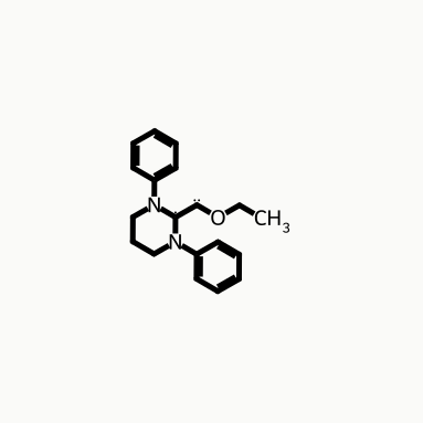 CCO[C][C]1N(c2ccccc2)CCCN1c1ccccc1